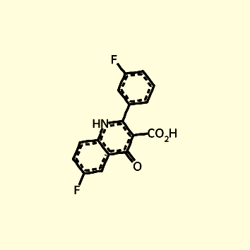 O=C(O)c1c(-c2cccc(F)c2)[nH]c2ccc(F)cc2c1=O